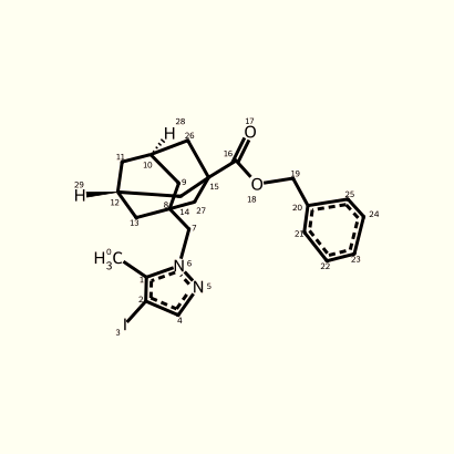 Cc1c(I)cnn1CC12C[C@H]3C[C@@H](C1)CC(C(=O)OCc1ccccc1)(C3)C2